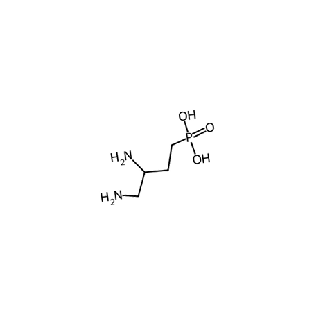 NCC(N)CCP(=O)(O)O